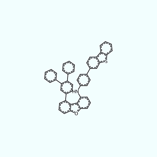 c1ccc(-c2ccc(-c3cccc4oc5cccc(Nc6ccc(-c7ccc8c(c7)sc7ccccc78)cc6)c5c34)cc2-c2ccccc2)cc1